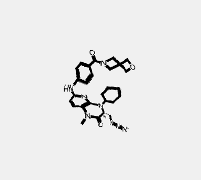 CN1C(=O)[C@@H](CN=[N+]=[N-])N(C2CCCCC2)c2nc(Nc3ccc(C(=O)N4CC5(COC5)C4)cc3)ccc21